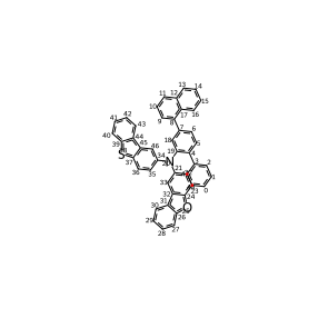 c1ccc(-c2ccc(-c3cccc4ccccc34)cc2N(c2ccc3oc4ccccc4c3c2)c2ccc3sc4ccccc4c3c2)cc1